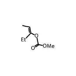 C/C=C(\CC)OC(=O)OC